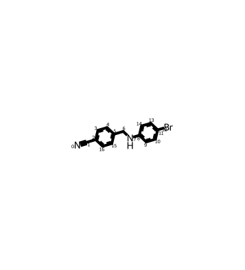 N#Cc1ccc(CNc2ccc(Br)cc2)cc1